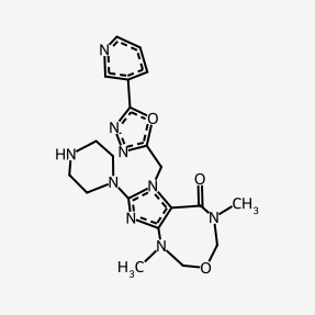 CN1COCN(C)c2nc(N3CCNCC3)n(Cc3nnc(-c4cccnc4)o3)c2C1=O